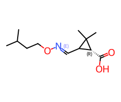 CC(C)CCO/N=C/C1[C@@H](C(=O)O)C1(C)C